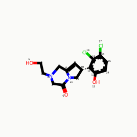 O=C1CN(CCO)CC2=C[C@H](c3c(O)ccc(Cl)c3Cl)CN12